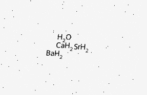 O.[BaH2].[CaH2].[SrH2]